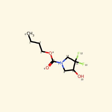 CCCCOC(=O)N1CC(O)C(F)(F)C1